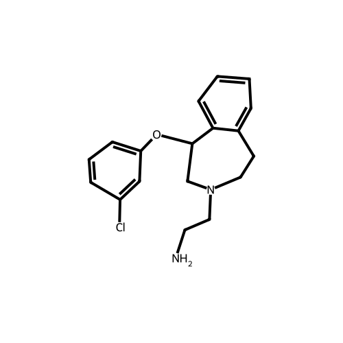 NCCN1CCc2ccccc2C(Oc2cccc(Cl)c2)C1